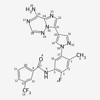 Cc1cc(F)c(NC(=O)c2cccc(C(F)(F)F)c2)cc1-n1cc(-c2cnc3c(N)ncnn23)cn1